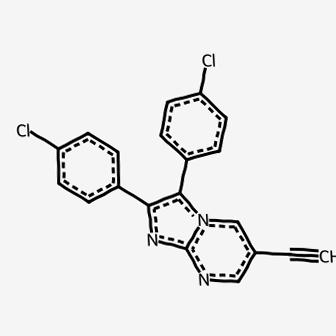 C#Cc1cnc2nc(-c3ccc(Cl)cc3)c(-c3ccc(Cl)cc3)n2c1